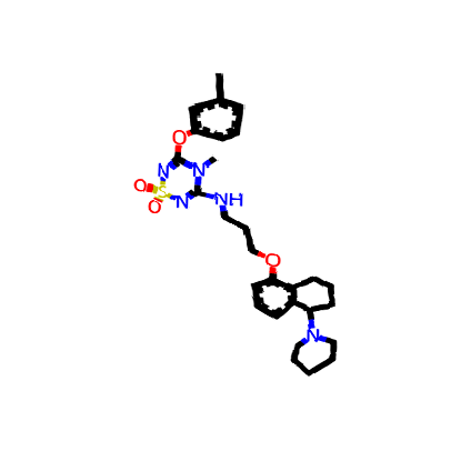 Cc1cccc(OC2=NS(=O)(=O)N=C(NCCCOc3cccc4c3CCCC4N3CCCCC3)N2C)c1